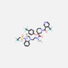 CCN(CCN(C)C(=O)C1(Oc2ccc(C(F)(F)F)cc2)CCCN(C(=O)c2cnccc2C(F)(F)F)C1)c1ccccc1NS(=O)(=O)CC(F)(F)F